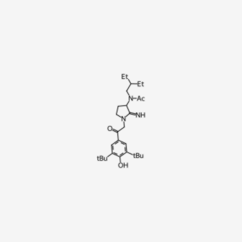 CCC(CC)CN(C(C)=O)C1CCN(CC(=O)c2cc(C(C)(C)C)c(O)c(C(C)(C)C)c2)C1=N